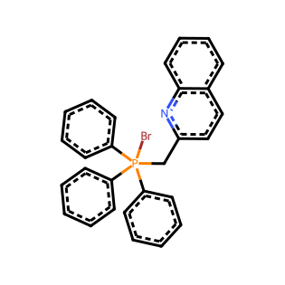 BrP(Cc1ccc2ccccc2n1)(c1ccccc1)(c1ccccc1)c1ccccc1